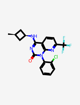 C[C@H]1C[C@@H](Nc2nc(=O)n(-c3ccccc3Cl)c3nc(C(F)(F)F)ccc23)C1